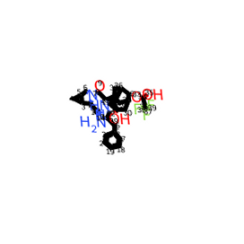 N#CC1C2CC2CN1C(=O)C(NCC(N)Cc1ccccc1)C12CC3CC(CC(O)(C3)C1)C2.O=C(O)C(F)(F)F